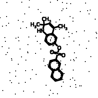 CC1=CC(C)(C)Nc2ccc(OS(=O)(=O)c3ccc4ccccc4c3)cc21